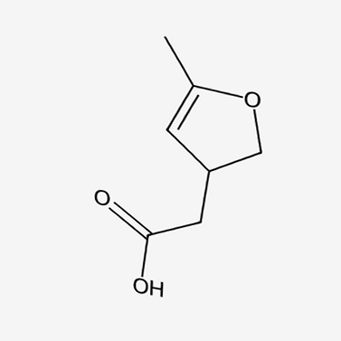 CC1=CC(CC(=O)O)CO1